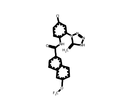 C=C1NN=NN1c1cc(Cl)ccc1NC(=O)c1ccc2cc(OC(F)(F)F)ccc2c1